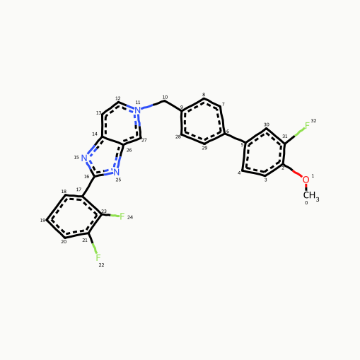 COc1ccc(-c2ccc(Cn3ccc4nc(-c5cccc(F)c5F)nc-4c3)cc2)cc1F